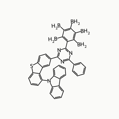 Bc1c(B)c(B)c(-c2nc(-c3ccccc3)nc(-c3ccc4sc5cccc(-n6c7ccccc7c7ccccc76)c5c4c3)n2)c(B)c1B